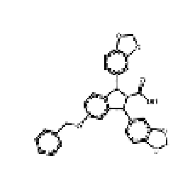 O=C(O)C1C(c2ccc3c(c2)OCO3)c2ccc(OCc3ccccc3)cc2C1c1ccc2c(c1)OCO2